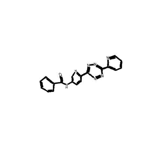 O=C(Nc1ccc(-c2nnc(-c3ccccn3)nn2)nc1)c1ccccc1